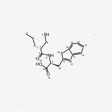 CCC[C@H](CS)C(=O)N[C@@H](Cc1nc2ccccc2s1)C(=O)O